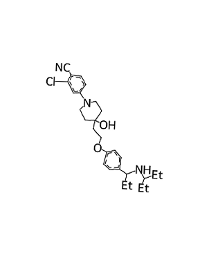 CCC(CC)NC(CC)c1ccc(OCCC2(O)CCN(c3ccc(C#N)c(Cl)c3)CC2)cc1